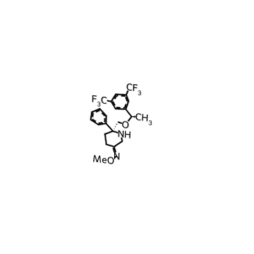 CON=C1CC[C@@](CO[C@H](C)c2cc(C(F)(F)F)cc(C(F)(F)F)c2)(c2ccccc2)NC1